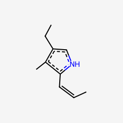 C/C=C\c1[nH]cc(CC)c1C